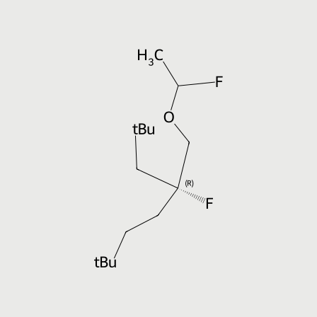 CC(F)OC[C@@](F)(CCC(C)(C)C)CC(C)(C)C